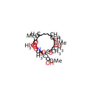 CO[C@H]1C[C@@H]2CC=C(C)[C@@](O)(O2)C(=O)C(=O)N2CCCC[C@H]2C(=O)O[C@H]([C@H](C)C[C@@H]2CC[C@@H](O)[C@H](OC)C2)CC(=O)[C@H](C)/C=C(\C)[C@@H](O)[C@@H](OC)C(=O)[C@H](C)C[C@H](C)/C=C/C=C/C=C/1C